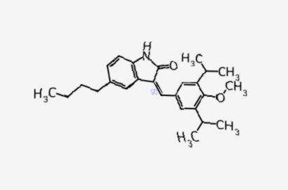 CCCCc1ccc2c(c1)/C(=C/c1cc(C(C)C)c(OC)c(C(C)C)c1)C(=O)N2